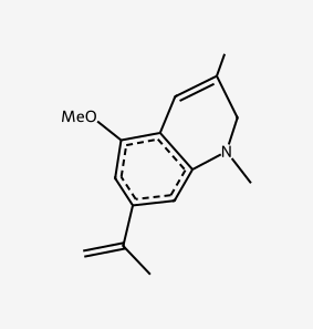 C=C(C)c1cc(OC)c2c(c1)N(C)CC(C)=C2